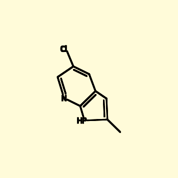 Cc1cc2cc(Cl)cnc2[pH]1